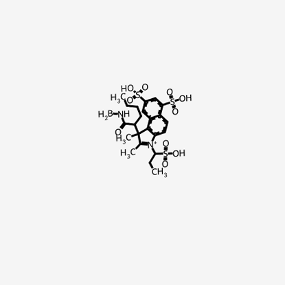 BNC(=O)C(CCCC)C1(C)C(C)=[N+](C(CC)S(=O)(=O)O)c2ccc3c(S(=O)(=O)O)cc(S(=O)(=O)O)cc3c21